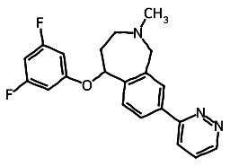 CN1CCC(Oc2cc(F)cc(F)c2)c2ccc(-c3cccnn3)cc2C1